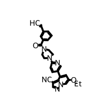 C#Cc1cccc(C(=O)N2CCN(c3ccc(-c4cc(OCC)cn5ncc(C#N)c45)cn3)CC2)c1